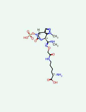 CN/C(=N\OCC(=O)NCCCC[C@H](N)C(=O)O)[C@@H]1c2c(cnn2C)[C@H]2CN1C(=O)N2OS(=O)(=O)O